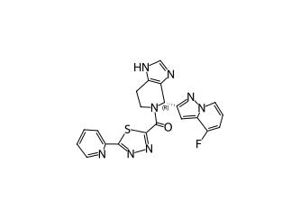 O=C(c1nnc(-c2ccccn2)s1)N1CCc2[nH]cnc2[C@@H]1c1cc2c(F)cccn2n1